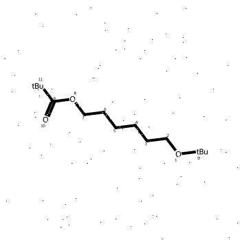 CC(C)(C)OCCCCCCOC(=O)C(C)(C)C